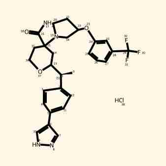 C[C@@H](c1ccc(-c2cn[nH]c2)cc1)C1CC(C(N)=O)(N2CCC(Oc3cccc(C(F)(F)F)c3)C2)CCO1.Cl